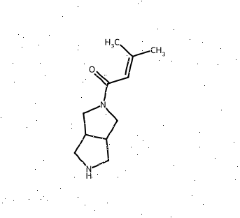 CC(C)=CC(=O)N1CC2CNCC2C1